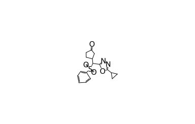 O=C1CCC(C(c2nnc(C3CC3)o2)S(=O)(=O)c2ccccc2)C1